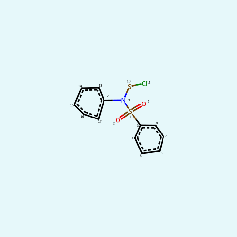 O=S(=O)(c1ccccc1)N(SCl)c1ccccc1